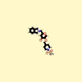 CC(C)S(=O)(=O)N1CC=C(COc2coc(CN3Cc4ccccc4C3)cc2=O)CC1